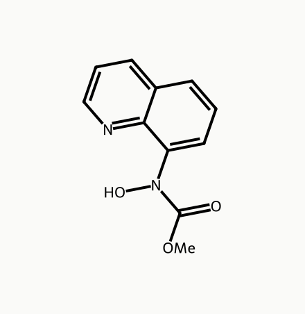 COC(=O)N(O)c1cccc2cccnc12